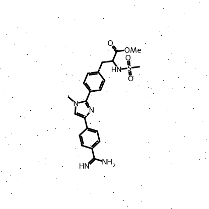 COC(=O)C(Cc1ccc(-c2nc(-c3ccc(C(=N)N)cc3)cn2C)cc1)NS(C)(=O)=O